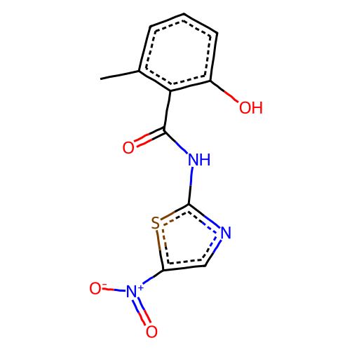 Cc1cccc(O)c1C(=O)Nc1ncc([N+](=O)[O-])s1